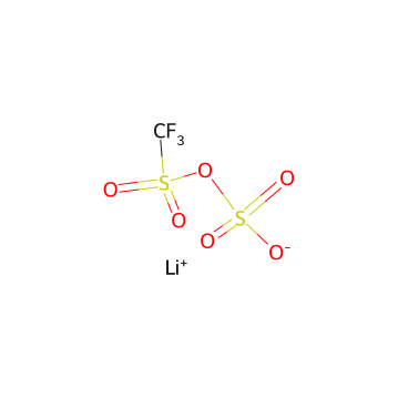 O=S(=O)([O-])OS(=O)(=O)C(F)(F)F.[Li+]